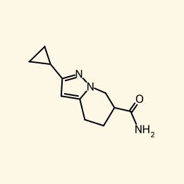 NC(=O)C1CCc2cc(C3CC3)nn2C1